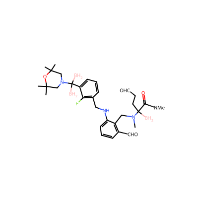 BC(CCC=O)(C(=O)NC)N(C)Cc1c(C=O)cccc1NCc1cccc(C(B)(B)N2CC(C)(C)OC(C)(C)C2)c1F